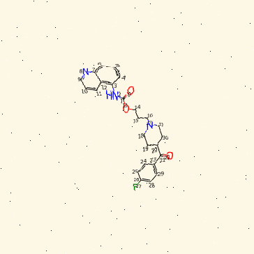 O=C(Nc1cccc2ncccc12)OCCCN1CCC(C(=O)c2ccc(F)cc2)CC1